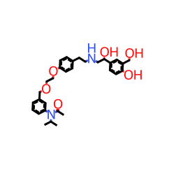 CC(=O)N(c1cccc(COCCOc2ccc(CCNC[C@@H](O)c3ccc(O)c(CO)c3)cc2)c1)C(C)C